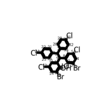 Oc1c(Br)cc(Cl)cc1C(c1cc(Cl)cc(Br)c1O)C(c1ccc(Cl)cc1)c1ccc(Cl)cc1